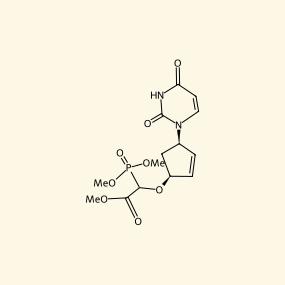 COC(=O)C(O[C@@H]1C=C[C@H](n2ccc(=O)[nH]c2=O)C1)P(=O)(OC)OC